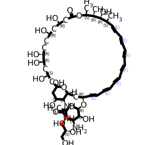 C[C@@H]1[C@H](O)[C@@H](C)/C=C/C=C/C=C/C=C/C=C/C=C/C=C/[C@H](O[C@@H]2O[C@H](C)[C@@H](O)[C@H](N)[C@@H]2O)C[C@@H]2O[C@](O)(C[C@@H](O)C[C@@H](O)[C@H](O)CC[C@@H](O)C[C@@H](O)CC(=O)O[C@H]1C)C[C@H](O)[C@H]2NC(=O)NC[C@H](O)CO